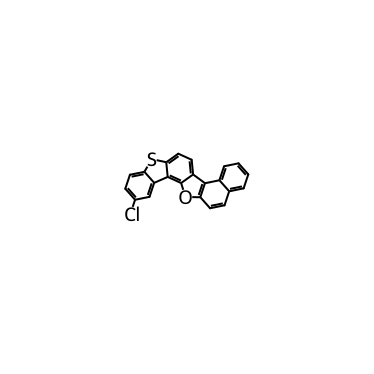 Clc1ccc2sc3ccc4c(oc5ccc6ccccc6c54)c3c2c1